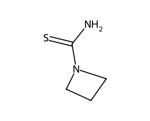 NC(=S)N1CCC1